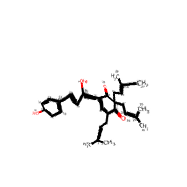 CC(C)=CCC1=C/C(=C(O)\C=C\c2ccc(O)cc2)C(=O)C(CC=C(C)C)(CC=C(C)C)C1=O